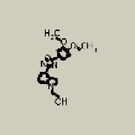 CCOc1ccc(-c2nc(-c3cccc4c3CCN4CCO)no2)cc1OCC